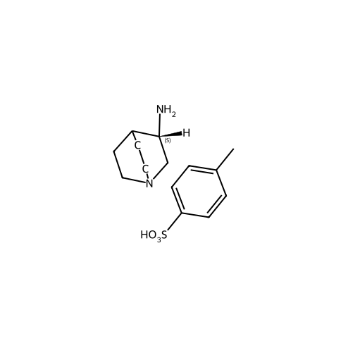 Cc1ccc(S(=O)(=O)O)cc1.N[C@@H]1CN2CCC1CC2